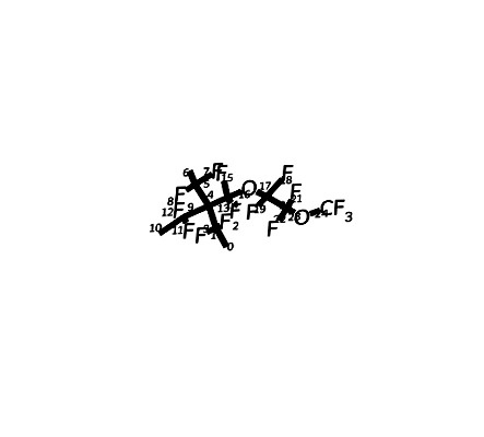 CC(F)(F)C(C(C)(F)F)(C(C)(F)F)C(F)(F)OC(F)(F)C(F)(F)OC(F)(F)F